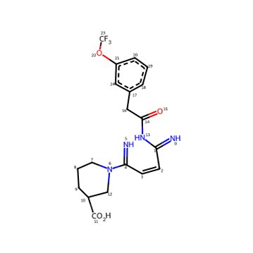 N=C(/C=C\C(=N)N1CCCC(C(=O)O)C1)NC(=O)Cc1cccc(OC(F)(F)F)c1